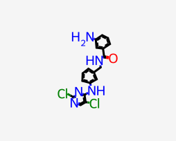 Nc1cccc(C(=O)NCc2cccc(Nc3nc(Cl)ncc3Cl)c2)c1